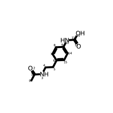 CC(=O)NCCc1ccc(NC(=O)O)cc1